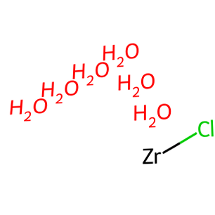 O.O.O.O.O.O.[Cl][Zr]